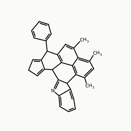 Cc1cc(C)c2c(C)cc3c4c2c1C1C(=Nc2ccccc21)C4C1=CCC=C1C3c1ccccc1